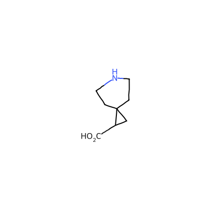 O=C(O)C1CC12CCNCC2